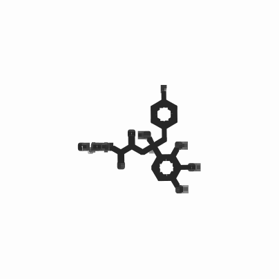 CN(O)C(=O)C(=O)C[C@](O)(Cc1ccc(F)cc1)c1ccc(O)c(O)c1O